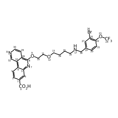 O=C(O)c1ccc2c(c1)nc(OCCOCCCCNCc1ccc(OC(F)(F)F)c(Br)c1)c1ccncc12